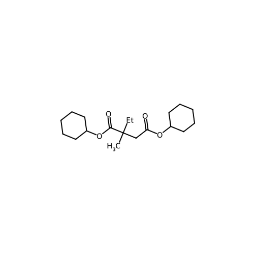 CCC(C)(CC(=O)OC1CCCCC1)C(=O)OC1CCCCC1